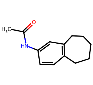 CC(=O)Nc1ccc2c(c1)CCCCC2